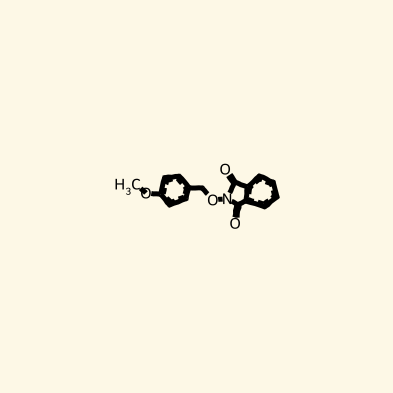 COc1ccc(CON2C(=O)c3ccccc3C2=O)cc1